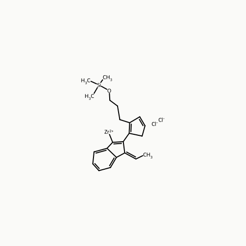 CC=C1C(C2=C(CCCO[Si](C)(C)C)C=CC2)=[C]([Zr+2])c2ccccc21.[Cl-].[Cl-]